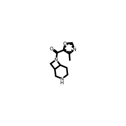 Cc1ncoc1C(=O)N1CC2CNCCC21